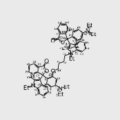 CCN(CC)c1ccc(C2(c3c(C)n(CC)c4ccccc34)OC(=O)c3cccnc32)c(OCCCCCCOc2cc(N(CC)CC)ccc2C2(c3c(C)n(CC)c4ccccc34)OC(=O)c3cccnc32)c1